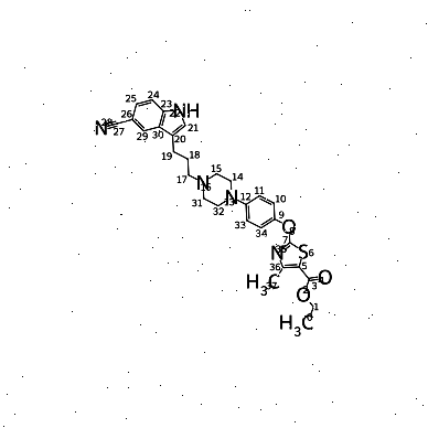 CCOC(=O)c1sc(Oc2ccc(N3CCN(CCCc4c[nH]c5ccc(C#N)cc45)CC3)cc2)nc1C